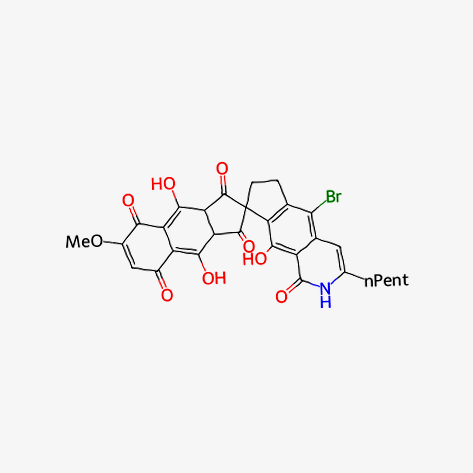 CCCCCc1cc2c(Br)c3c(c(O)c2c(=O)[nH]1)C1(CC3)C(=O)C2C(O)=C3C(=O)C=C(OC)C(=O)C3=C(O)C2C1=O